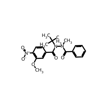 COc1cc(C(=O)N(N(C)C(=O)c2ccccc2)C(C)(C)C)ccc1[N+](=O)[O-]